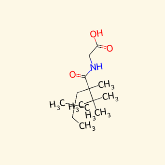 CCC(C)(C)CC(C)(C(=O)NCC(=O)O)C(C)(C)C